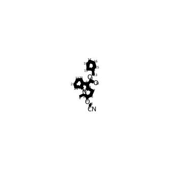 Cc1c(OCC#N)ccc2c(C(=O)OCc3ccccc3)c3ccccc3n12